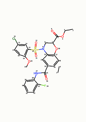 CC.CCOC(=O)C1CN(S(=O)(=O)c2cc(Cl)ccc2OC)c2cc(C(=O)Nc3ccccc3F)ccc2O1